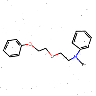 CCN(CCOCCOc1ccccc1)c1ccccc1